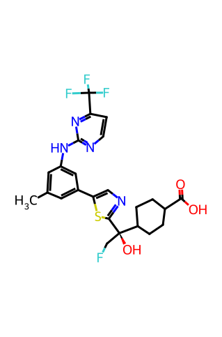 Cc1cc(Nc2nccc(C(F)(F)F)n2)cc(-c2cnc([C@@](O)(CF)C3CCC(C(=O)O)CC3)s2)c1